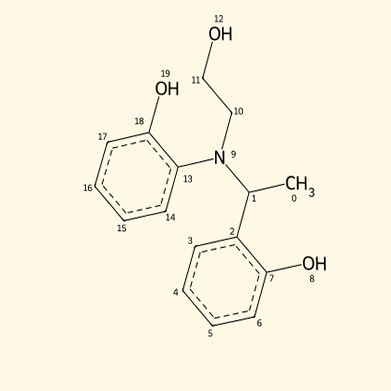 CC(c1ccccc1O)N(CCO)c1ccccc1O